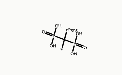 CCCCCC(F)(P(=O)(O)O)P(=O)(O)O